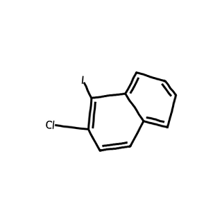 Clc1ccc2ccccc2c1I